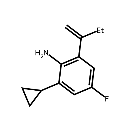 C=C(CC)c1cc(F)cc(C2CC2)c1N